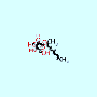 CCCCCCCCC(C)OC1O[C@H](CO)[C@H](O)[C@H](O)[C@H]1O